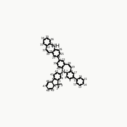 CC1(C)c2cc(N3c4ccc(-c5ccccc5)cc4C=Cc4cc(-c5ccc6c(c5)C=Cc5ccccc5N6)ccc43)ccc2C2C=CC=CC21